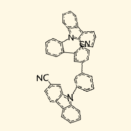 N#Cc1ccc2c3ccccc3n(-c3cccc(-c4ccc(C#N)c(-c5ccccc5-n5c6ccccc6c6ccccc65)c4)c3)c2c1